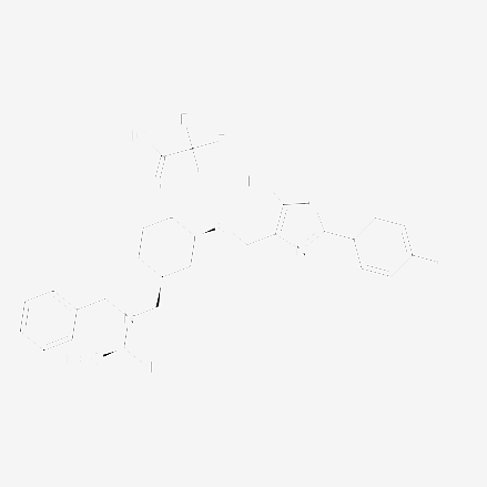 Cc1ccc(-c2nc(CO[C@@H]3CCC[C@H](CN(Cc4ccccc4)[C@H](C(=O)O)C(C)C)C3)c(C)o2)cc1.O=C(O)C(F)(F)F